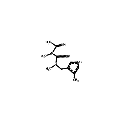 Cc1c[nH]cc1CN(C)C(=N)N(C)C(=N)N